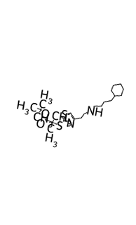 CC(C)(C)OC(=O)C(C)(C)Sc1nc(CCNCCCCC2CCCCC2)cs1